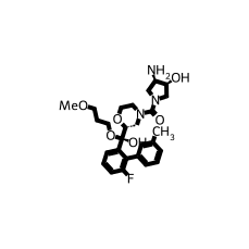 COCCCO[C@@](O)(c1cccc(F)c1-c1cccc(C)c1)[C@H]1CN(C(=O)N2C[C@@H](N)[C@@H](O)C2)CCO1